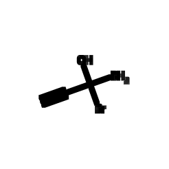 BC(O)(Br)C#C